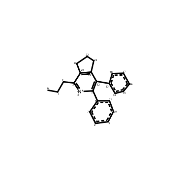 CCCC1=[N+]C(c2ccccc2)=C(c2ccccc2)C2=C1CCC2